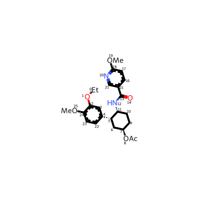 CCOc1cc([C@H]2C[C@H](OC(C)=O)CC[C@H]2NC(=O)c2ccc(OC)nc2)ccc1OC